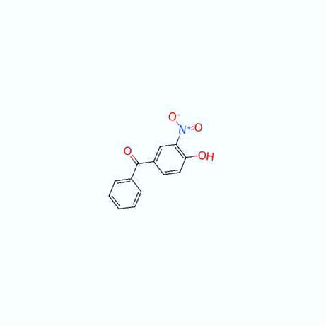 O=C(c1ccccc1)c1ccc(O)c([N+](=O)[O-])c1